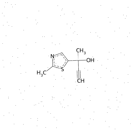 C#C[C@](C)(O)c1cnc(C)s1